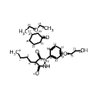 CCCCC1C(=O)NN(c2ccccc2)C1=O.CCOCC.O=C1CCCCC1.OCCO